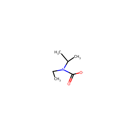 CCN(C([O])=O)C(C)C